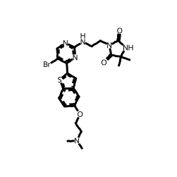 CN(C)CCOc1ccc2sc(-c3nc(NCCN4C(=O)NC(C)(C)C4=O)ncc3Br)cc2c1